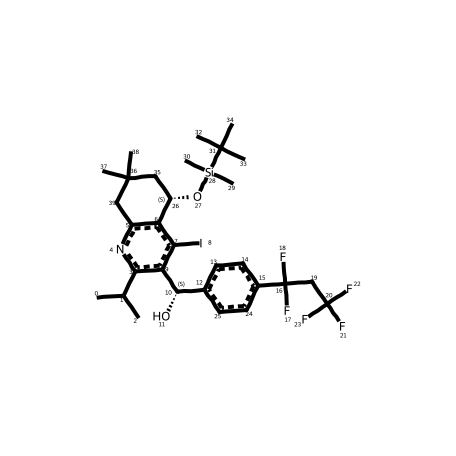 CC(C)c1nc2c(c(I)c1[C@@H](O)c1ccc(C(F)(F)CC(F)(F)F)cc1)[C@@H](O[Si](C)(C)C(C)(C)C)CC(C)(C)C2